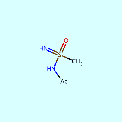 CC(=O)NS(C)(=N)=O